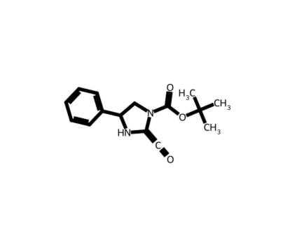 CC(C)(C)OC(=O)N1CC(c2ccccc2)NC1=C=O